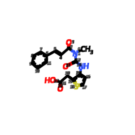 CN(C(=O)/C=C/c1ccccc1)C(=O)Nc1ccsc1CC(=O)O